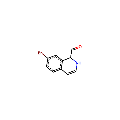 O=CC1NC=Cc2ccc(Br)cc21